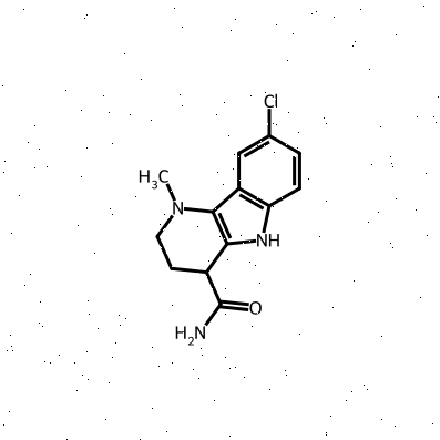 CN1CCC(C(N)=O)c2[nH]c3ccc(Cl)cc3c21